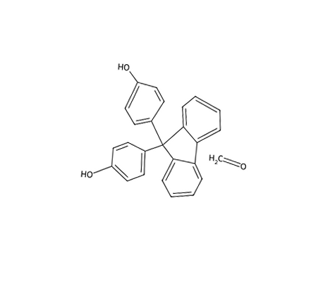 C=O.Oc1ccc(C2(c3ccc(O)cc3)c3ccccc3-c3ccccc32)cc1